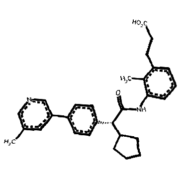 Cc1cncc(-c2ccc([C@H](C(=O)Nc3cccc(CCC(=O)O)c3C)C3CCCC3)cc2)c1